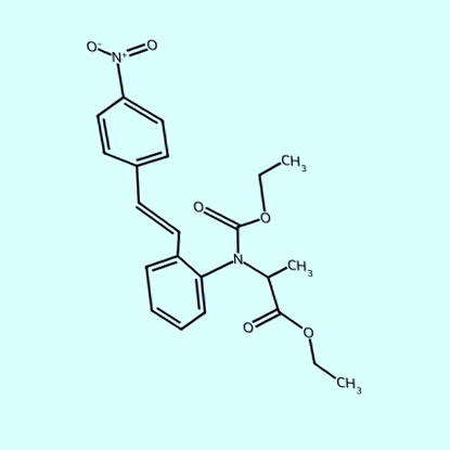 CCOC(=O)C(C)N(C(=O)OCC)c1ccccc1C=Cc1ccc([N+](=O)[O-])cc1